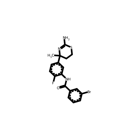 CC1(c2ccc(F)c(NC(=O)c3cccc(Br)c3)c2)CCSC(N)=N1